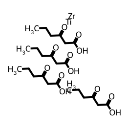 CCCC(=O)CC(=O)O.CCCC(=O)CC(=O)O.CCCC(=O)CC(=O)O.CCCC(=O)CC(=O)O.[Ti].[Zr]